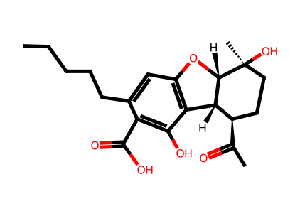 CCCCCc1cc2c(c(O)c1C(=O)O)[C@H]1[C@H](C(C)=O)CC[C@](C)(O)[C@H]1O2